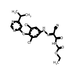 CCOC(=O)NC(=O)/C(C#N)=N/Nc1cc(Cl)c(Oc2cc(C(C)C)ncn2)c(Cl)c1